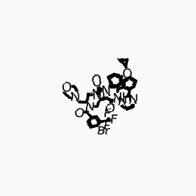 O=C(NCc1ccccc1-c1ncccn1)c1c2n(c(=O)n1-c1ccc(OC3CC3)cc1)CC(CN1CCOCC1)N(C(=O)c1ccc(Br)c(C(F)(F)F)c1)C2